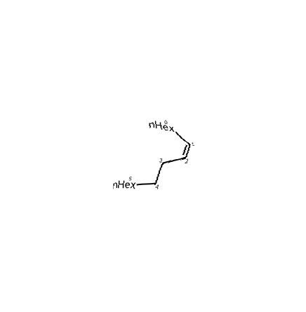 CCCCCC/[C]=C\CCCCCCCC